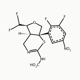 O=C(O)NC1=NC[C@H]2[C@@H](C(F)F)OC[C@]2(c2cc([N+](=O)[O-])cc(F)c2F)S1